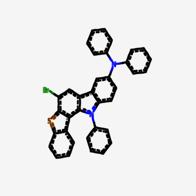 Brc1cc2c3cc(N(c4ccccc4)c4ccccc4)ccc3n(-c3ccccc3)c2c2c1sc1ccccc12